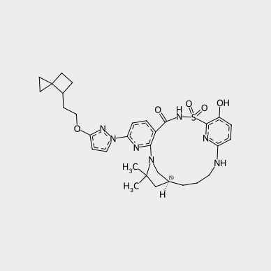 CC1(C)C[C@@H]2CCCNc3ccc(O)c(n3)S(=O)(=O)NC(=O)c3ccc(-n4ccc(OCCC5CCC56CC6)n4)nc3N1C2